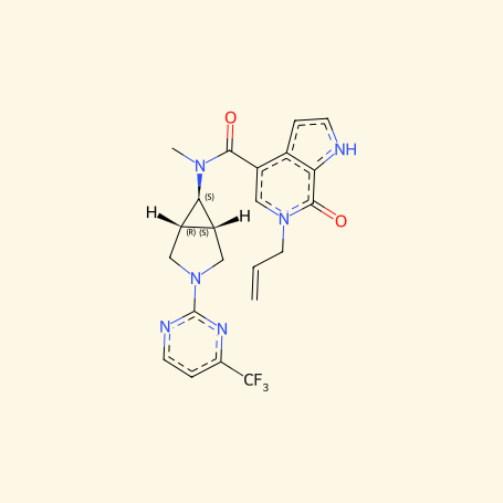 C=CCn1cc(C(=O)N(C)[C@H]2[C@@H]3CN(c4nccc(C(F)(F)F)n4)C[C@@H]32)c2cc[nH]c2c1=O